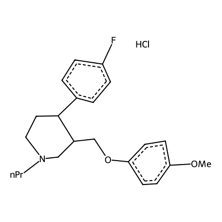 CCCN1CCC(c2ccc(F)cc2)C(COc2ccc(OC)cc2)C1.Cl